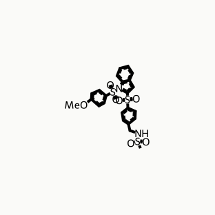 COc1ccc(S(=O)(=O)n2c(S(=O)(=O)c3ccc(CNS(C)(=O)=O)cc3)cc3ccccc32)cc1